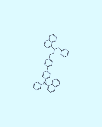 c1ccc(CC(CCc2ccc(-c3ccc(N(c4ccccc4)c4cccc5ccccc45)cc3)cc2)c2cccc3ccccc23)cc1